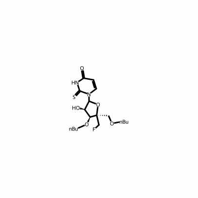 CCCCOC[C@@]1(CF)OC(n2ccc(=O)[nH]c2=S)[C@H](O)[C@@H]1OCCCC